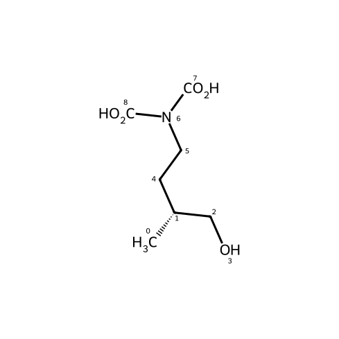 C[C@@H](CO)CCN(C(=O)O)C(=O)O